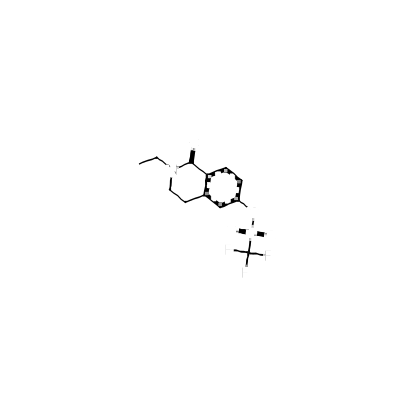 CCN1CCc2cc(OS(=O)(=O)C(F)(F)F)ccc2C1=O